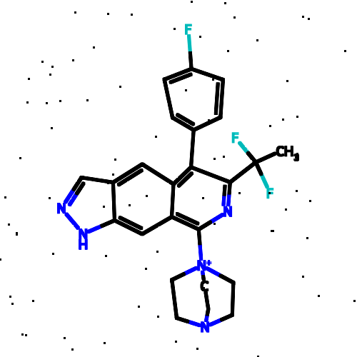 CC(F)(F)c1nc([N+]23CCN(CC2)CC3)c2cc3[nH]ncc3cc2c1-c1ccc(F)cc1